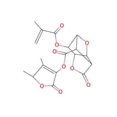 C=C(C)C(=O)OC1C2OC(=O)C3C2OC1C3C(=O)OC1=C(C)C(C)OC1=O